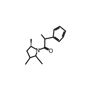 CC(C(=O)N1C(C)C(C)C[C@H]1C)c1ccccc1